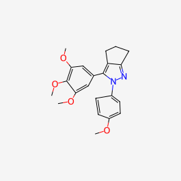 COc1ccc(-n2nc3c(c2-c2cc(OC)c(OC)c(OC)c2)CCC3)cc1